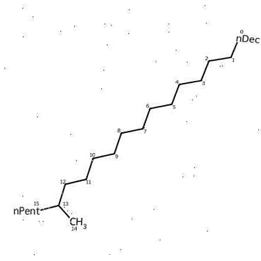 [CH2]CCCCCCCCCCCCCCCCCCCCCC(C)CCCC[CH2]